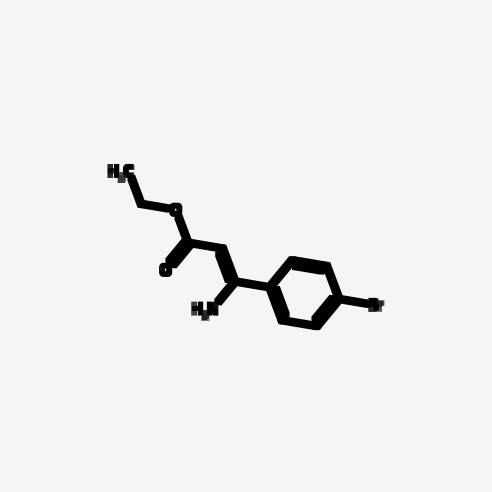 CCOC(=O)C=C(N)c1ccc(Br)cc1